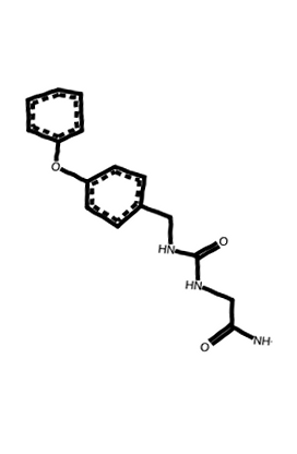 [NH]C(=O)CNC(=O)NCc1ccc(Oc2ccccc2)cc1